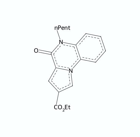 CCCCCn1c(=O)c2cc(C(=O)OCC)cn2c2ccccc21